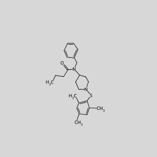 CCCC(=O)N(Cc1ccccc1)C1CCN(Sc2c(C)cc(C)cc2C)CC1